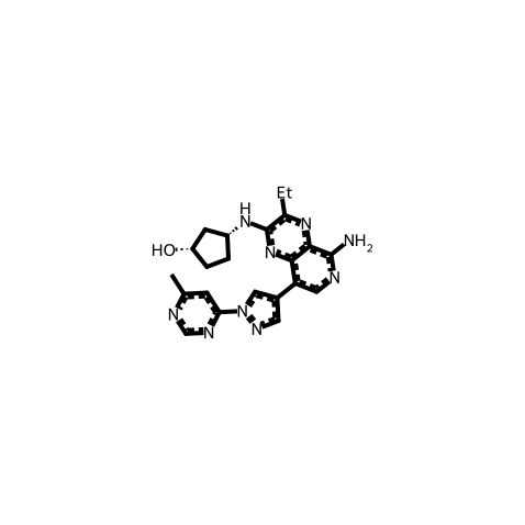 CCc1nc2c(N)ncc(-c3cnn(-c4cc(C)ncn4)c3)c2nc1N[C@@H]1CC[C@H](O)C1